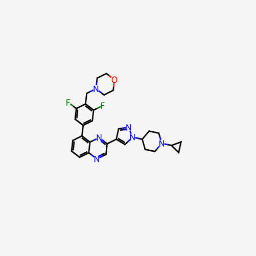 Fc1cc(-c2cccc3ncc(-c4cnn(C5CCN(C6CC6)CC5)c4)nc23)cc(F)c1CN1CCOCC1